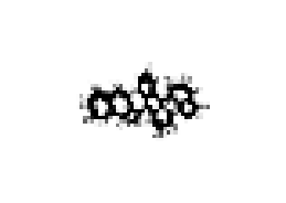 c1ccc2c(-c3c4ccccc4c(-c4coc5c4ccc4ccccc45)c4ccccc34)cccc2c1